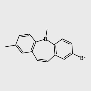 CB1c2ccc(C)cc2C=Cc2cc(Br)ccc21